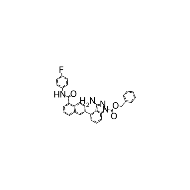 Nc1nn(C(=O)OCc2ccccc2)c2cccc(-c3ccc4c(C(=O)Nc5ccc(F)cc5)cccc4c3)c12